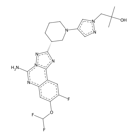 CC(C)(O)Cn1cc(N2CCC[C@@H](c3nc4c5cc(F)c(OC(F)F)cc5nc(N)n4n3)C2)cn1